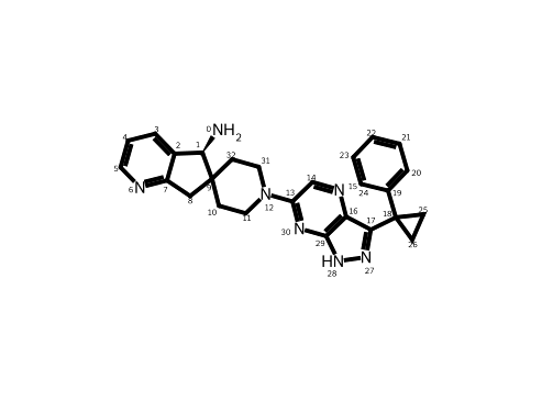 N[C@@H]1c2cccnc2CC12CCN(c1cnc3c(C4(c5ccccc5)CC4)n[nH]c3n1)CC2